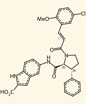 COc1ccc(Cl)cc1/C=C/C(=O)N1CC[C@H](c2ccccc2)[C@H]1C(=O)Nc1ccc2[nH]c(C(=O)O)cc2c1